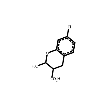 O=C(O)C1Cc2ccc(Cl)cc2OC1C(F)(F)F